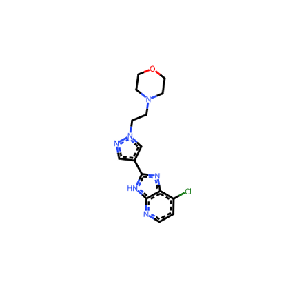 Clc1ccnc2[nH]c(-c3cnn(CCN4CCOCC4)c3)nc12